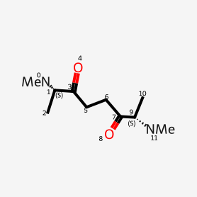 CN[C@@H](C)C(=O)CCC(=O)[C@H](C)NC